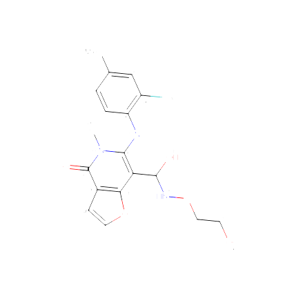 CSc1ccc(Nc2c(C(O)NOCCO)c3occc3c(=O)n2C)c(F)c1